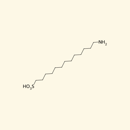 NCCCCCCCCCCCCCS(=O)(=O)O